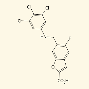 O=C(O)c1cc2cc(F)c(CNc3cc(Cl)c(Cl)c(Cl)c3)cc2o1